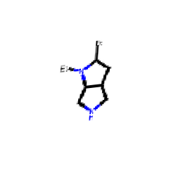 CCC1CC2CNCC2N1CC